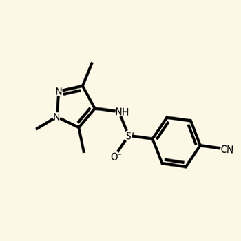 Cc1nn(C)c(C)c1N[S+]([O-])c1ccc(C#N)cc1